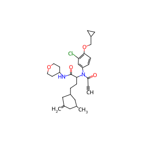 C#CC(=O)N(c1ccc(OCC2CC2)c(Cl)c1)C(CCC1CC(=C)CC(C)C1)C(=O)NC1CCOCC1